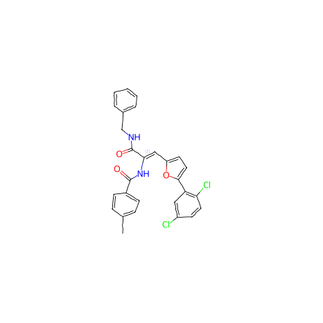 Cc1ccc(C(=O)N/C(=C\c2ccc(-c3cc(Cl)ccc3Cl)o2)C(=O)NCc2ccccc2)cc1